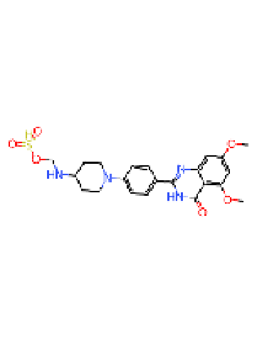 COc1cc(OC)c2c(=O)[nH]c(-c3ccc(N4CCC(NCO[SH](=O)=O)CC4)cc3)nc2c1